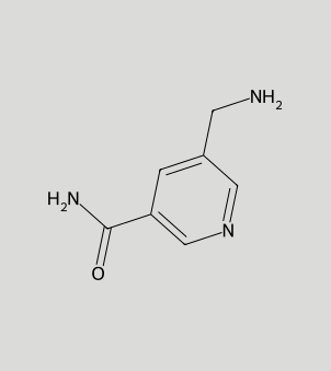 NCc1cncc(C(N)=O)c1